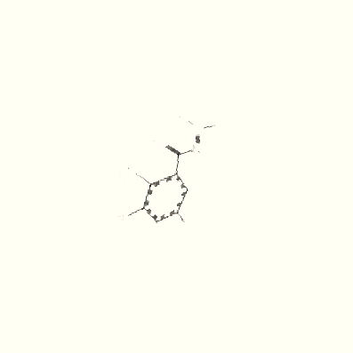 CS(C)=NC(=O)c1cc(C(F)(F)F)cc(Br)c1N